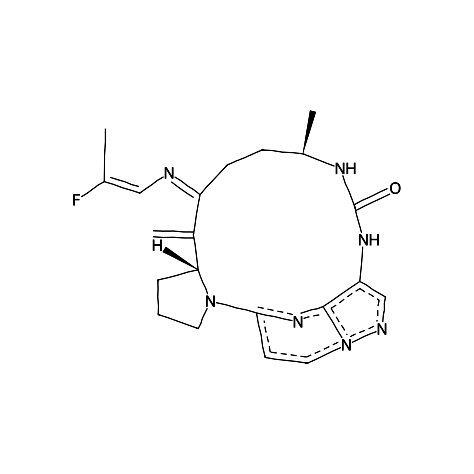 C=C1/C(=N\C=C(/C)F)CC[C@@H](C)NC(=O)Nc2cnn3ccc(nc23)N2CCC[C@H]12